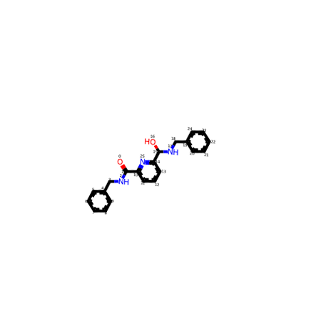 O=C(NCc1ccccc1)c1cccc(C(O)NCc2ccccc2)n1